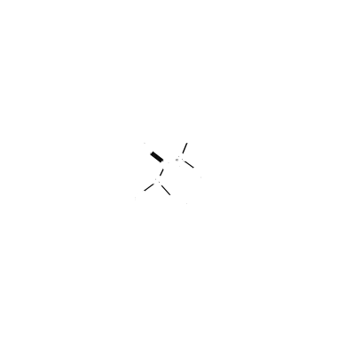 C=[PH](N(C)C)N(C)C